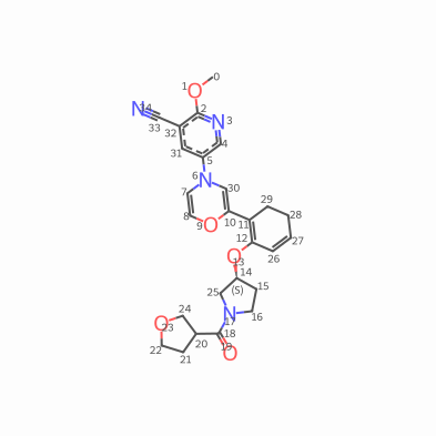 COc1ncc(N2C=COC(C3=C(O[C@H]4CCN(C(=O)C5CCOC5)C4)C=CCC3)=C2)cc1C#N